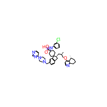 C[C@@H](COc1ccnc2c1[C@H](C)CCC2)C[C@H]1Cc2ccc(CN3CCN(c4ccncn4)CC3)cc2C12CCC(Nc1cccc(Cl)c1)(C(=O)O)CC2